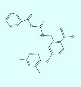 Cc1ccc(Oc2ccc([N+](=O)[O-])c(CNC(=S)NC(=O)c3ccccc3)c2)c(C)c1